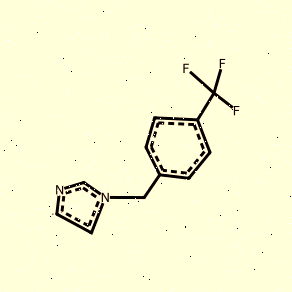 FC(F)(F)c1ccc(Cn2c[c]nc2)cc1